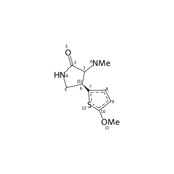 CNC1C(=O)NC[C@@H]1c1ccc(OC)s1